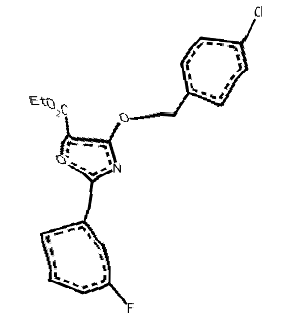 CCOC(=O)c1oc(-c2cccc(F)c2)nc1OCc1ccc(Cl)cc1